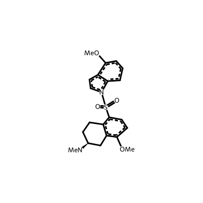 CN[C@H]1CCc2c(S(=O)(=O)n3ccc4c(OC)cccc43)ccc(OC)c2C1